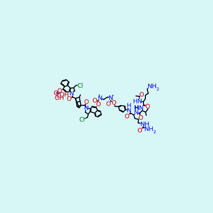 CC(=O)NC(CCCCN)C(=O)NC(C(=O)NC(CCCNC(N)=O)C(=O)Nc1ccc(COC(=O)N(C)CCN(C)C(=O)Oc2cc3c(c4ccccc24)C(CCl)CN3C(=O)C23C4C(C)C5(C(=O)N6CC(CCl)c7c6cc(OP(=O)(O)O)c6ccccc76)C4C2C53)cc1)C(C)C